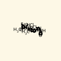 COc1cc(F)cc([C@@H](CO)NC(=O)[C@@H](C)N2Cc3ccc(-c4nc(NC5CCOCC5)ncc4Cl)cc3C2=O)c1.Cl